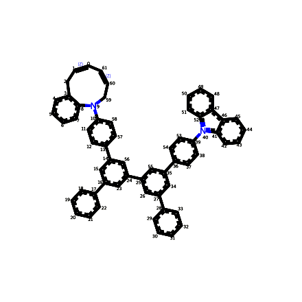 C1=C\Cc2ccccc2N(c2ccc(-c3cc(-c4ccccc4)cc(-c4cc(-c5ccccc5)cc(-c5ccc(-n6c7ccccc7c7ccccc76)cc5)c4)c3)cc2)C\C=C/1